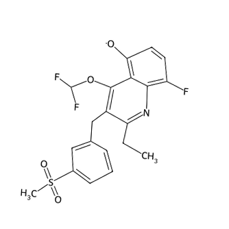 CCc1nc2c(F)ccc([O])c2c(OC(F)F)c1Cc1cccc(S(C)(=O)=O)c1